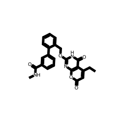 CCc1cc(=O)oc2nc(OCc3ccccc3-c3cccc(C(=O)NC)c3)[nH]c(=O)c12